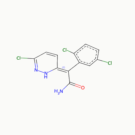 NC(=O)/C(=C1/C=CC(Cl)=NN1)c1cc(Cl)ccc1Cl